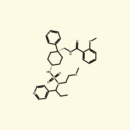 CCC(c1ccncc1)N(CCOC)S(=O)(=O)N[C@H]1CC[C@](CNC(=O)c2ccccc2OC)(c2ccccc2)CC1